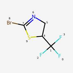 FC(F)(F)C1CN=C(Br)S1